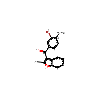 CCc1oc2ccccc2c1C(=O)c1ccc(OC)c(Br)c1